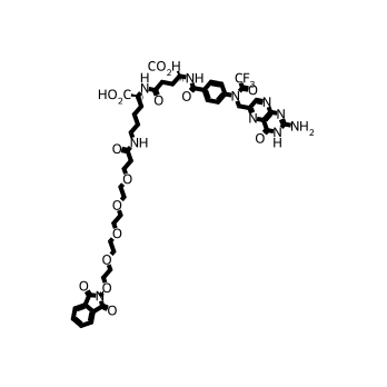 Nc1nc2ncc(CN(C(=O)C(F)(F)F)c3ccc(C(=O)N[C@@H](CCC(=O)N[C@@H](CCCCNC(=O)CCOCCOCCOCCOCCON4C(=O)c5ccccc5C4=O)C(=O)O)C(=O)O)cc3)nc2c(=O)[nH]1